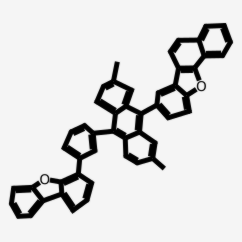 Cc1ccc2c(-c3cccc(-c4cccc5c4oc4ccccc45)c3)c3ccc(C)cc3c(-c3ccc4oc5c6ccccc6ccc5c4c3)c2c1